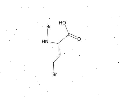 O=C(O)[C@H](CCBr)NBr